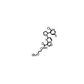 CC(C)(C)OCCONC(=O)c1cnn2ccc(N3CCCC3c3cc(F)cnc3Cl)nc12